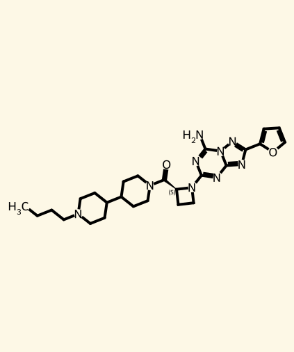 CCCCN1CCC(C2CCN(C(=O)[C@@H]3CCN3c3nc(N)n4nc(-c5ccco5)nc4n3)CC2)CC1